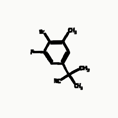 Cc1cc(C(C)(C)C#N)cc(F)c1Br